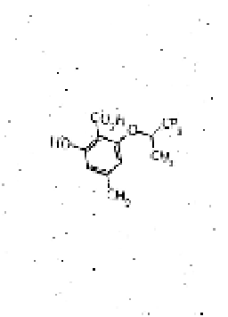 Cc1cc(O)c(C(=O)O)c(O[C@@H](C)C(F)(F)F)c1